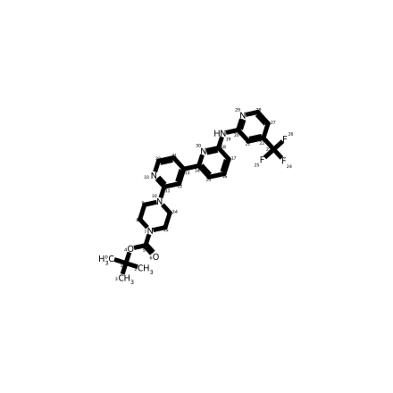 CC(C)(C)OC(=O)N1CCN(c2cc(-c3cccc(Nc4cc(C(F)(F)F)ccn4)n3)ccn2)CC1